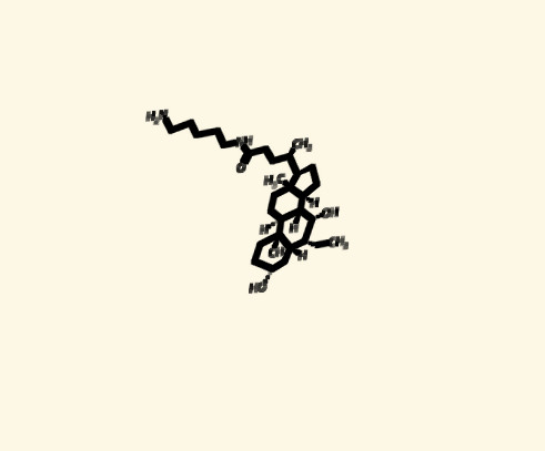 CC[C@H]1[C@@H](O)[C@@H]2[C@H](CC[C@]3(C)[C@@H]([C@H](C)CCC(=O)NCCCCCN)CC[C@@H]23)[C@@]2(C)CC[C@@H](O)C[C@@H]12